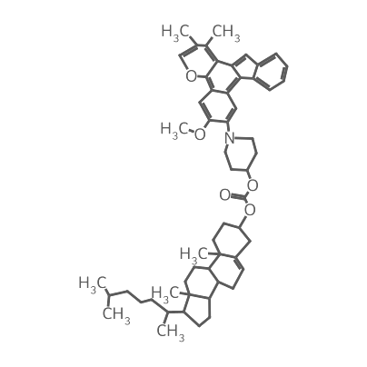 COc1cc2c(cc1N1CCC(OC(=O)OC3CCC4(C)C(=CCC5C4CCC4(C)C(C(C)CCCC(C)C)CCC54)C3)CC1)c1c3ccccc3cc1c1c(C)c(C)coc21